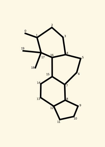 CC1CCC2CCC3C4CCCC4CCC3C2C1(C)C